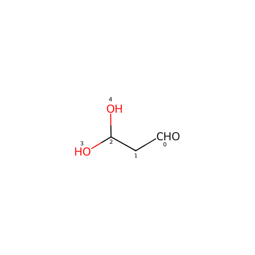 O=CCC(O)O